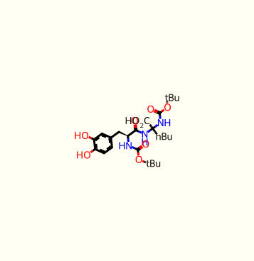 CCCCC(NC(=O)OC(C)(C)C)(NC(=O)[C@H](Cc1ccc(O)c(O)c1)NC(=O)OC(C)(C)C)C(=O)O